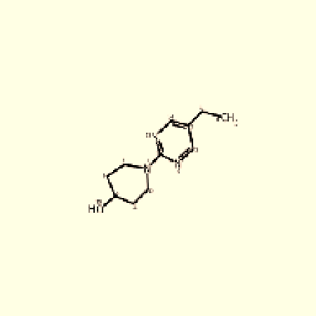 CCc1cnc(N2CCC(O)CC2)nc1